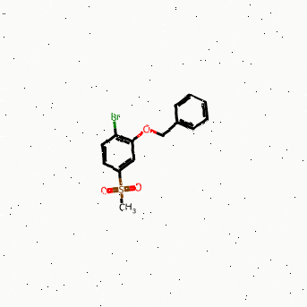 CS(=O)(=O)c1ccc(Br)c(OCc2ccccc2)c1